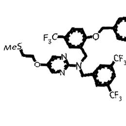 CSCCOc1cnc(N(Cc2cc(C(F)(F)F)cc(C(F)(F)F)c2)Cc2cc(C(F)(F)F)ccc2OCc2ccccc2)nc1